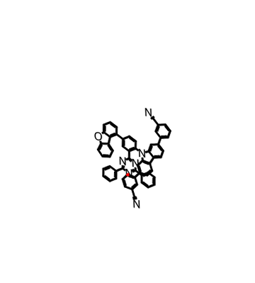 N#Cc1cccc(-c2ccc3c4ccc(-c5cccc(C#N)c5)cc4n(-c4ccc(-c5cccc6oc7ccccc7c56)cc4-c4nc(-c5ccccc5)nc(-c5ccccc5)n4)c3c2)c1